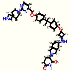 CC(C)(c1ccc(OCc2ccnc(N3CCC4(CC3)CNC4)n2)cc1)c1ccc(OC2CC(Nc3ccc4c(c3)CN(C3CCC(=O)NC3=O)C4)C2)cc1